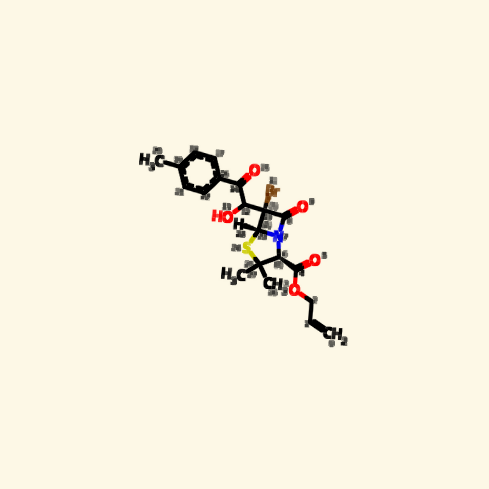 C=CCOC(=O)[C@@H]1N2C(=O)[C@@](Br)(C(O)C(=O)c3ccc(C)cc3)[C@H]2SC1(C)C